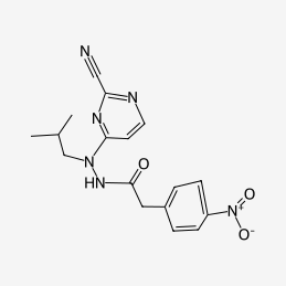 CC(C)CN(NC(=O)Cc1ccc([N+](=O)[O-])cc1)c1ccnc(C#N)n1